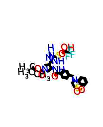 CC(C)(C)OC(=O)N1CC(NC(=O)c2ccc(CN3CCS(=O)(=O)c4ccccc43)cc2)C(c2n[nH]c(=S)[nH]2)C1.O=C(O)C(F)(F)F